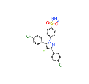 NS(=O)(=O)c1ccc(-n2nc(-c3ccc(Cl)cc3)c(F)c2-c2ccc(Cl)cc2)cc1